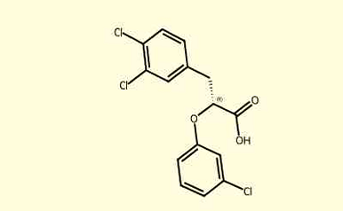 O=C(O)[C@@H](Cc1ccc(Cl)c(Cl)c1)Oc1cccc(Cl)c1